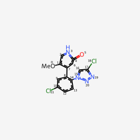 COc1c[nH]c(=O)cc1-c1cc(Cl)ccc1-n1cc(Cl)nn1